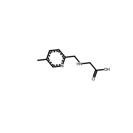 Cc1ccc(CNCC(=O)O)nc1